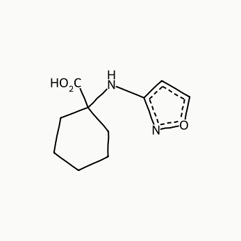 O=C(O)C1(Nc2ccon2)CCCCC1